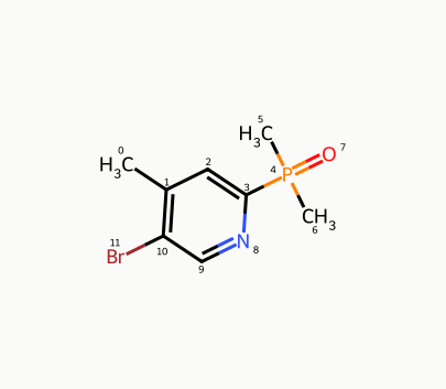 Cc1cc(P(C)(C)=O)ncc1Br